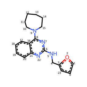 c1coc(CNc2nc(N3CCCCCC3)c3ccccc3n2)c1